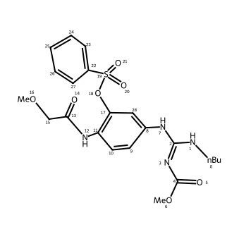 CCCCNC(=NC(=O)OC)Nc1ccc(NC(=O)COC)c(OS(=O)(=O)c2ccccc2)c1